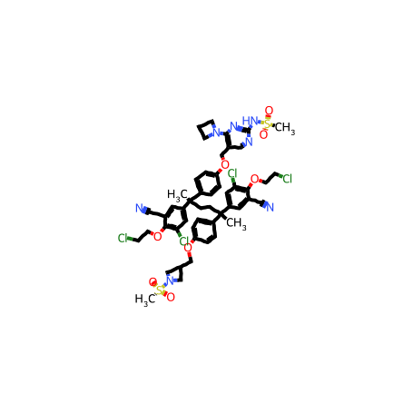 CC(CCC(C)(c1ccc(OCC2CN(S(C)(=O)=O)C2)cc1)c1cc(Cl)c(OCCCl)c(C#N)c1)(c1ccc(OCc2cnc(NS(C)(=O)=O)nc2N2CCC2)cc1)c1cc(Cl)c(OCCCl)c(C#N)c1